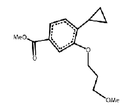 COCCCOc1cc(C(=O)OC)ccc1C1CC1